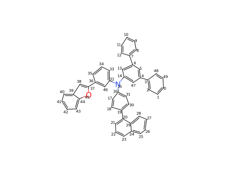 c1ccc(-c2cc(-c3ccccc3)cc(N(c3ccc(-c4cccc5ccccc45)cc3)c3cccc(-c4cc5ccccc5o4)c3)c2)cc1